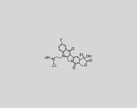 CCCN(CCn1c2c(c(=O)c3cc(F)ccc31)-c1cc3c(c(=O)n1C2)COC(=O)[C@]3(O)CC)C1CC1